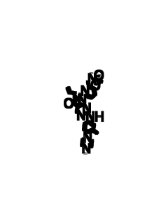 C=CCn1c(=O)c2cnc(Nc3ccc(N4CCN(C)CC4)c(C)c3)nc2n1-c1cccc(CN(C)S(C)(=O)=O)n1